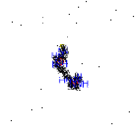 CCc1nccc(N[C@H](C(=O)N2CCC[C@H]2c2ncc(-c3ccc(-c4ccc(-c5cnc([C@@H]6CCCN6C(=O)[C@@H](Nc6ccnc(SC)n6)C(C)C)[nH]5)cc4)cc3)[nH]2)C(C)C)n1